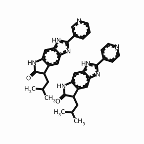 CC(C)CC1C(=O)Nc2cc3[nH]c(-c4cccnc4)nc3cc21.CC(C)CC1C(=O)Nc2cc3[nH]c(-c4ccncc4)nc3cc21